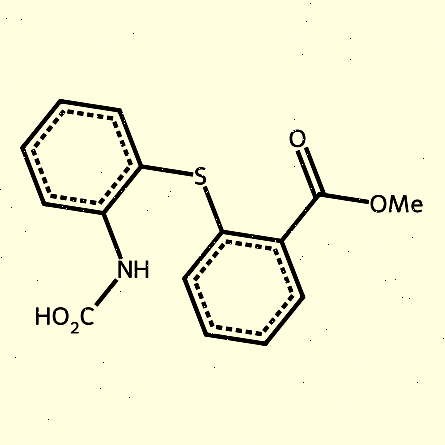 COC(=O)c1ccccc1Sc1ccccc1NC(=O)O